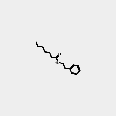 CCCCCCC(=O)NCCc1ccccc1